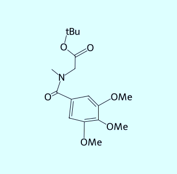 COc1cc(C(=O)N(C)CC(=O)OC(C)(C)C)cc(OC)c1OC